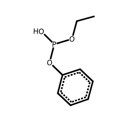 CCOP(O)Oc1ccccc1